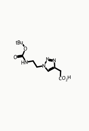 CC(C)(C)OC(=O)NCCn1cc(CC(=O)O)nn1